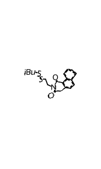 CCC(C)SSCCN1C(=O)Cc2ccc3ccccc3c2C1=O